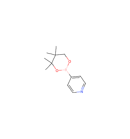 CC1(C)COB(c2ccncc2)OC1(C)C